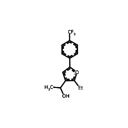 CCc1oc(-c2ccc(C(F)(F)F)cc2)cc1C(C)O